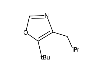 CC(C)Cc1ncoc1C(C)(C)C